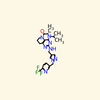 CC(C)N1c2nc(NCc3cnn(Cc4ccc(C(F)(F)F)nc4)c3)nc3c2N(CCC3)C(=O)[C@@H]1C